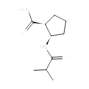 CC(C)C(=O)N[C@@H]1CCC[C@@H]1C(N)=O